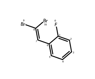 Fc1ccccc1C=C(Br)Br